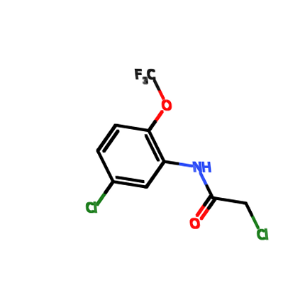 O=C(CCl)Nc1cc(Cl)ccc1OC(F)(F)F